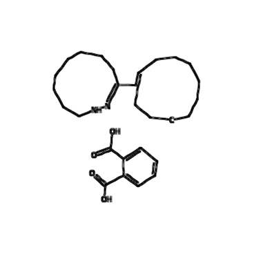 C1=C(C2=NNCCCCCCCC2)CCCCCCCCC1.O=C(O)c1ccccc1C(=O)O